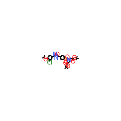 CC(C)Oc1ccc(-c2noc(-c3ccc(S(=O)(=O)N(CC(=O)OC(C)(C)C)CC(=O)OC(C)(C)C)cc3)n2)cc1Cl